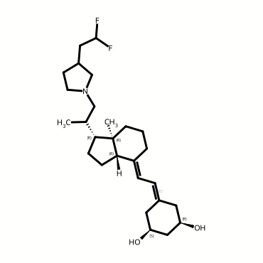 CC(CN1CCC(CC(F)F)C1)[C@H]1CC[C@H]2C(=C/C=C3/C[C@@H](O)C[C@@H](O)C3)CCC[C@]12C